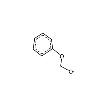 [O]COc1ccccc1